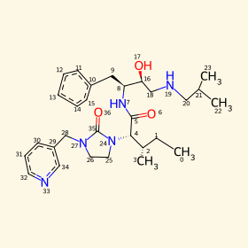 CC[C@H](C)[C@@H](C(=O)N[C@@H](Cc1ccccc1)[C@@H](O)CNCC(C)C)N1CCN(Cc2cccnc2)C1=O